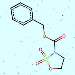 O=C(OCc1ccccc1)N1CCOS1(=O)=O